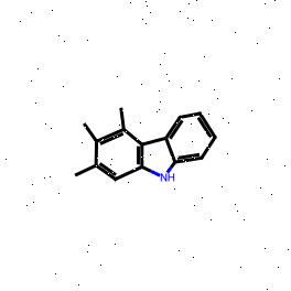 Cc1[c]c2[nH]c3ccccc3c2c(C)c1C